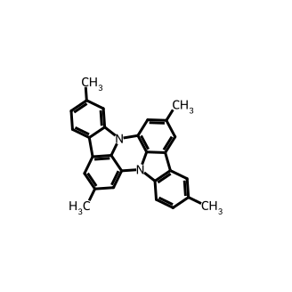 Cc1ccc2c(c1)c1cc(C)cc3c1n2c1cc(C)cc2c4ccc(C)cc4n3c21